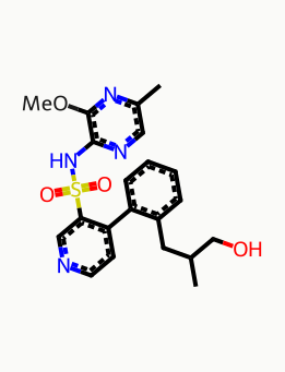 COc1nc(C)cnc1NS(=O)(=O)c1cnccc1-c1ccccc1CC(C)CO